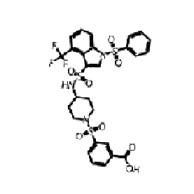 O=C(O)c1cccc(S(=O)(=O)N2CCC(NS(=O)(=O)c3cn(S(=O)(=O)c4ccccc4)c4cccc(C(F)(F)F)c34)CC2)c1